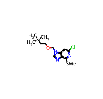 CSc1nc(Cl)cc2c1ncn2COCC[Si](C)(C)C